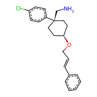 NC[C@]1(c2ccc(Cl)cc2)CC[C@H](OC/C=C/c2ccccc2)CC1